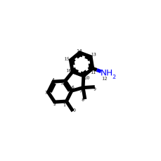 CC1CC=CC2=C1C(C)(C)c1c(N)cccc12